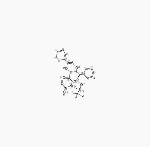 CC(C)(C)[Si](C)(C)O[C@H](Cc1ccccc1)C(NC(=O)O)C(=O)C1=COC=C(C2=CC=CCC2)O1